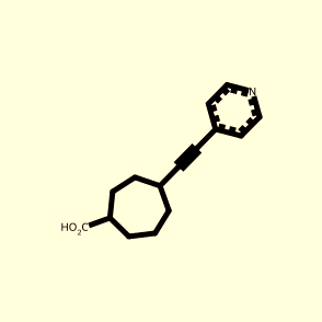 O=C(O)C1CCCC(C#Cc2ccncc2)CC1